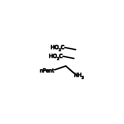 CC(=O)O.CC(=O)O.CCCCCCN